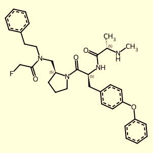 CN[C@@H](C)C(=O)N[C@@H](Cc1ccc(Oc2ccccc2)cc1)C(=O)N1CCC[C@H]1CN(CCc1ccccc1)C(=O)CF